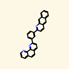 c1cc(-c2ccc3cc4ccccc4cc3n2)cc(-c2ccc3ccc4cccnc4c3n2)c1